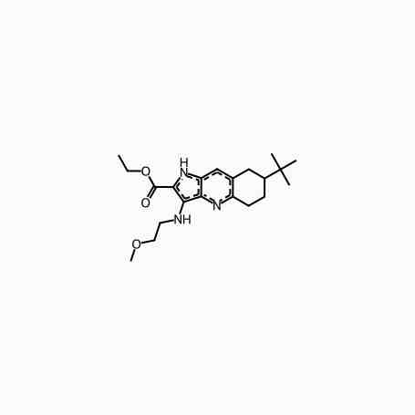 CCOC(=O)c1[nH]c2cc3c(nc2c1NCCOC)CCC(C(C)(C)C)C3